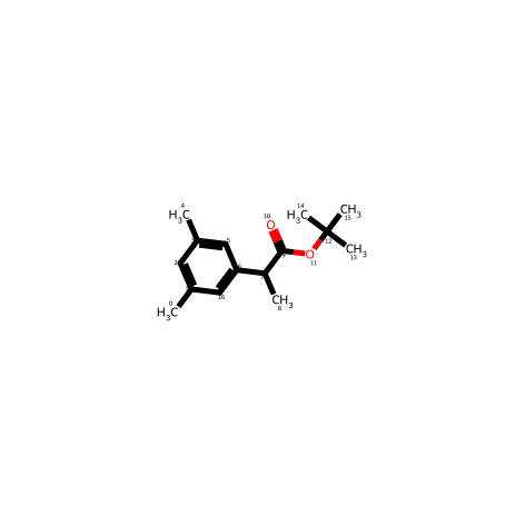 Cc1[c]c(C)cc(C(C)C(=O)OC(C)(C)C)c1